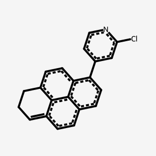 Clc1cc(-c2ccc3ccc4c5c(ccc2c35)CCC=4)ccn1